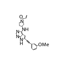 C=CC(=O)N1CCC(Nc2ncnc3[nH]c(C#Cc4cccc(OC)c4)cc23)C1